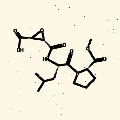 COC(=O)[C@@H]1CCCN1C(=O)[C@H](CC(C)C)NC(=O)[C@H]1O[C@@H]1C(=O)O